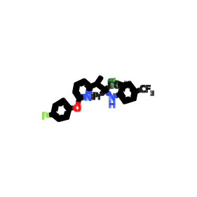 CC(C)C(Nc1ccc(C(F)(F)F)cc1Cl)(C(=O)O)C(C)c1cccc(Oc2ccc(F)cc2)n1